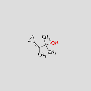 CC(=C1CC1)C(C)(C)O